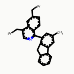 Cc1cc2c(c(-c3ncc(CC(C)C)c4cc(CC(C)C)ccc34)c1)Cc1ccccc1-2